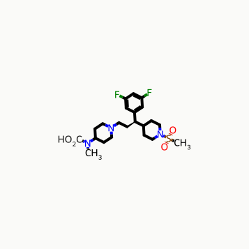 CN(C(=O)O)C1CCN(CC[C@@H](c2cc(F)cc(F)c2)C2CCN(S(C)(=O)=O)CC2)CC1